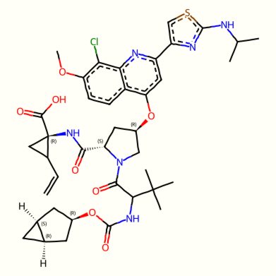 C=CC1C[C@]1(NC(=O)[C@@H]1C[C@@H](Oc2cc(-c3csc(NC(C)C)n3)nc3c(Cl)c(OC)ccc23)CN1C(=O)C(NC(=O)O[C@@H]1C[C@@H]2C[C@@H]2C1)C(C)(C)C)C(=O)O